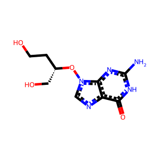 Nc1nc2c(ncn2O[C@H](CO)CCO)c(=O)[nH]1